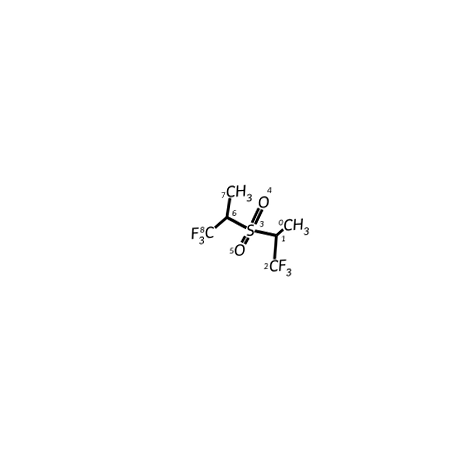 CC(C(F)(F)F)S(=O)(=O)C(C)C(F)(F)F